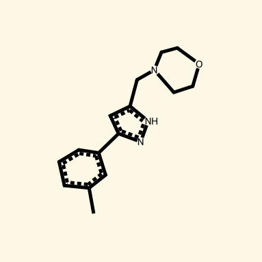 Cc1cccc(-c2cc(CN3CCOCC3)[nH]n2)c1